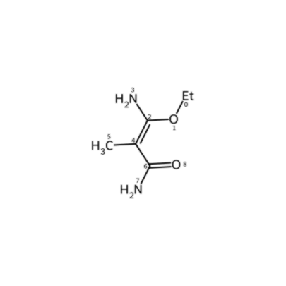 CCOC(N)=C(C)C(N)=O